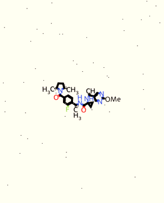 C=C(NC1(C(=O)N[C@H](C)c2ccc(C(=O)N3[C@H](C)CC[C@@H]3C)cc2F)CC1)c1cnc(OC)nc1